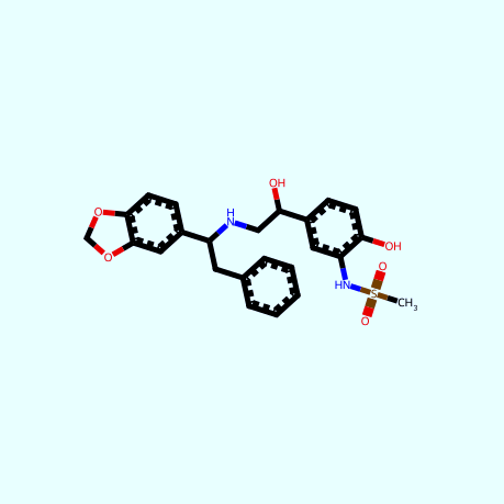 CS(=O)(=O)Nc1cc(C(O)CNC(Cc2ccccc2)c2ccc3c(c2)OCO3)ccc1O